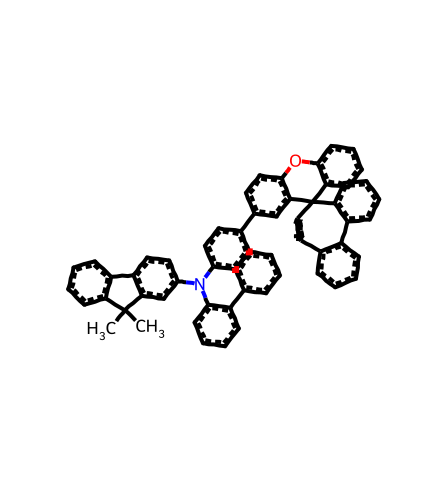 CC1(C)c2ccccc2-c2ccc(N(c3ccc(-c4ccc5c(c4)C4(c6ccccc6O5)c5ccccc5-c5ccccc5-c5ccccc54)cc3)c3ccccc3-c3ccccc3)cc21